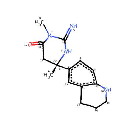 CN1C(=N)N[C@](C)(c2ccc3c(c2)CCCN3)CC1=O